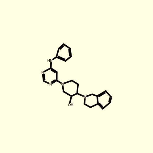 OC1CN(c2cc(Nc3ccccc3)ncn2)CCC1N1CCc2ccccc2C1